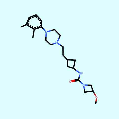 COC1CN(C(=O)NC2CC(CCN3CCN(c4cccc(C)c4C)CC3)C2)C1